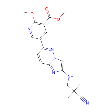 COC(=O)c1cc(-c2ccc3nc(NCC(C)(C)C#N)cn3n2)cnc1OC